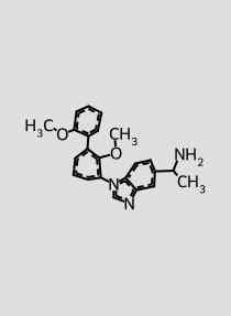 COc1ccccc1-c1cccc(-n2cnc3cc(C(C)N)ccc32)c1OC